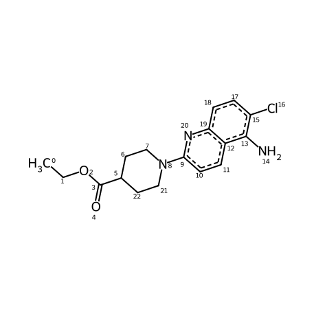 CCOC(=O)C1CCN(c2ccc3c(N)c(Cl)ccc3n2)CC1